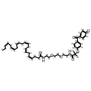 CC/C=C\C/C=C\C/C=C\C/C=C\C/C=C\C/C=C\CCC(=O)NCCOCCOCCNC(=O)C(C)(C)Oc1ccc(C(=O)c2ccc(Cl)cc2)cc1